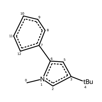 Cn1cc(C(C)(C)C)cc1-c1ccccc1